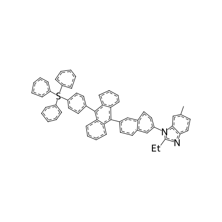 CCc1nc2ccc(C)cc2n1-c1ccc2cc(-c3c4ccccc4c(-c4ccc(S(c5ccccc5)(c5ccccc5)c5ccccc5)cc4)c4ccccc34)ccc2c1